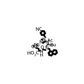 CC[C@H](C)[C@@H](CN(CC(=O)N[C@@H](CCS(C)(=O)=O)C(=O)O)Cc1cccc2ccccc12)N(C(C)=O)c1cncn1Cc1ccc(C#N)cc1